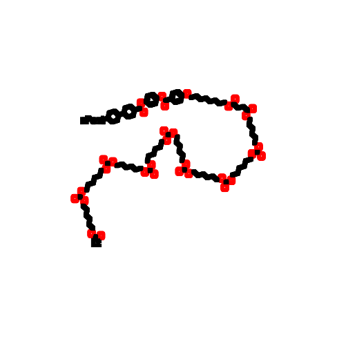 CCCCCC1CCC(C2CCC(C(=O)Oc3ccc(OC(=O)c4ccc(OCCCCCCCCOC(=O)CCC(=O)OCCCCCCOC(=O)OCCCCCCOC(=O)OCCCCCCOC(=O)OCCCCCCOC(=O)OCCCCCCOC(=O)OCCCCCCOC(=O)OCCCCCCOC(=O)OCCCCCCOC(=O)CC)cc4)cc3)CC2)CC1